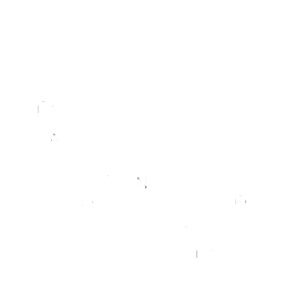 CC(=O)c1c(-c2ccccc2C(C)C)cc(CC(=O)OC(C)C)[nH]c1=O